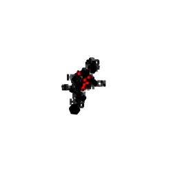 CC(C)[Si](O)(O[Si](O[C@H]1[C@H]2OP(=O)(OCCC#N)OCC3O[C@@H](n4cnc5c(NC(=O)c6ccccc6)ncnc54)[C@H](O[Si](C)(C)C(C)(C)C)[C@@H]3OP(=O)(S)OC[C@H]1O[C@H]2n1cc(F)c2c(=O)n(C)cnc21)(C(C)C)C(C)C)C(C)C